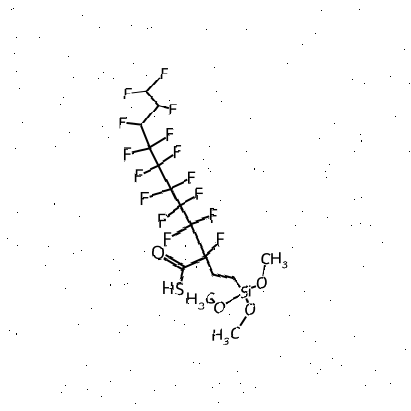 CO[Si](CCC(F)(C(=O)S)C(F)(F)C(F)(F)C(F)(F)C(F)(F)C(F)(F)C(F)C(F)C(F)F)(OC)OC